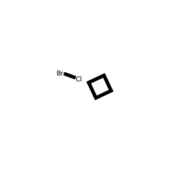 C1CCC1.ClBr